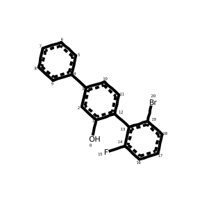 Oc1cc(-c2ccccc2)ccc1-c1c(F)cccc1Br